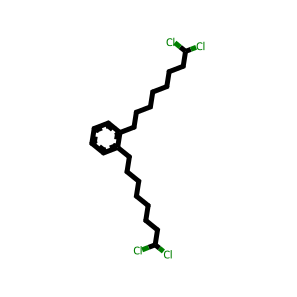 ClC(Cl)CCCCCCCc1ccccc1CCCCCCCC(Cl)Cl